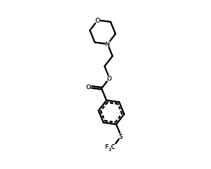 O=C(OCCN1CCOCC1)c1ccc(SC(F)(F)F)cc1